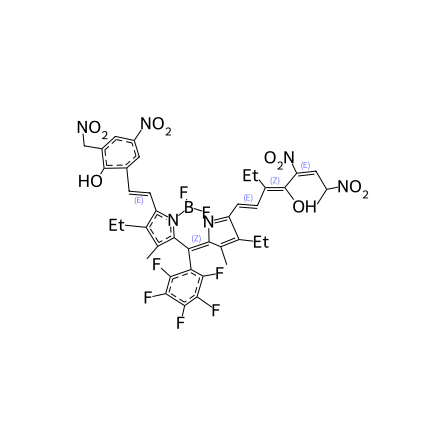 CCC1=C(C)/C(=C(\c2c(F)c(F)c(F)c(F)c2F)c2c(C)c(CC)c(/C=C/c3cc([N+](=O)[O-])cc(C[N+](=O)[O-])c3O)n2B(F)F)N=C1/C=C/C(CC)=C(O)/C(=C\C(C)[N+](=O)[O-])[N+](=O)[O-]